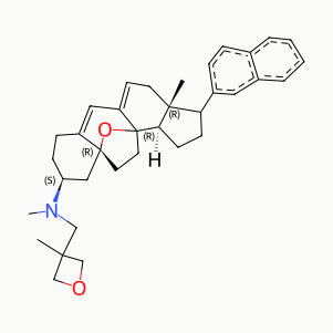 CN(CC1(C)COC1)[C@H]1CCC2=CC3=CC[C@]4(C)C(c5ccc6ccccc6c5)CC[C@H]4C34CC[C@]2(C1)O4